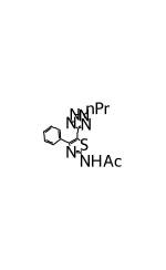 CCCn1nnc(-c2sc(NC(C)=O)nc2-c2ccccc2)n1